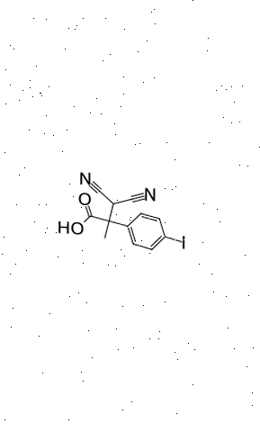 CC(C(=O)O)(c1ccc(I)cc1)C(C#N)C#N